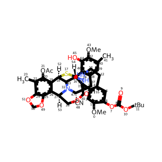 COc1cc2c(cc1OC(=O)OC(C)(C)C)CCN[C@]21CS[C@@H]2c3c(OC(C)=O)c(C)c4c(c3[C@H](COC1=O)N1C2[C@H]2N[C@@H](Cc3cc(C)c(OC)c(O)c32)[C@@H]1C#N)OCO4